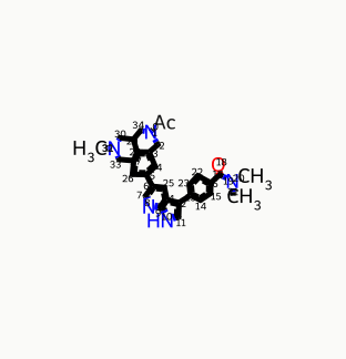 CC(=O)N1Cc2cc(-c3cnc4[nH]cc(-c5ccc(C(=O)N(C)C)cc5)c4c3)cc3c2C(CN(C)C3)C1